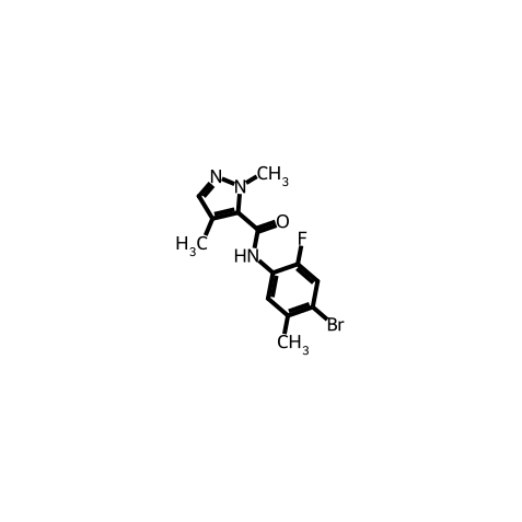 Cc1cc(NC(=O)c2c(C)cnn2C)c(F)cc1Br